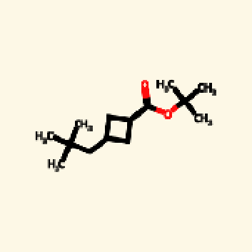 CC(C)(C)CC1CC(C(=O)OC(C)(C)C)C1